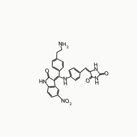 NCCc1ccc(C(Nc2ccc(C=C3NC(=O)NC3=O)cc2)=C2C(=O)Nc3ccc([N+](=O)[O-])cc32)cc1